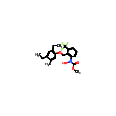 CCc1cc(CC)c(OCc2c(N(O)C(=O)OC)cccc2C(F)(F)F)cc1C